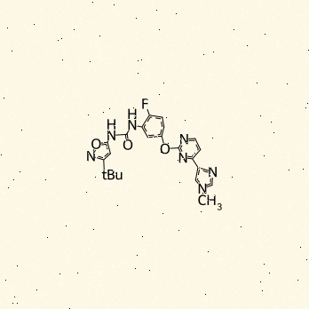 Cn1cnc(-c2ccnc(Oc3ccc(F)c(NC(=O)Nc4cc(C(C)(C)C)no4)c3)n2)c1